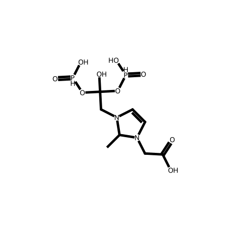 CC1N(CC(=O)O)C=CN1CC(O)(O[PH](=O)O)O[PH](=O)O